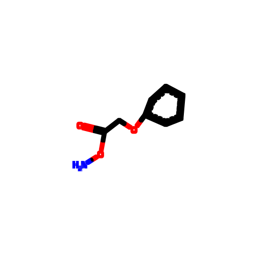 NOC(=O)COc1ccccc1